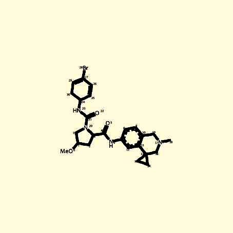 COC1CC(C(=O)Nc2ccc3c(c2)C2(CC2)CN(C)C3)N(C(=O)NC2C=CC(Br)=CC2)C1